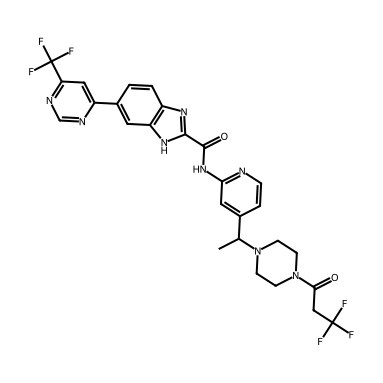 CC(c1ccnc(NC(=O)c2nc3ccc(-c4cc(C(F)(F)F)ncn4)cc3[nH]2)c1)N1CCN(C(=O)CC(F)(F)F)CC1